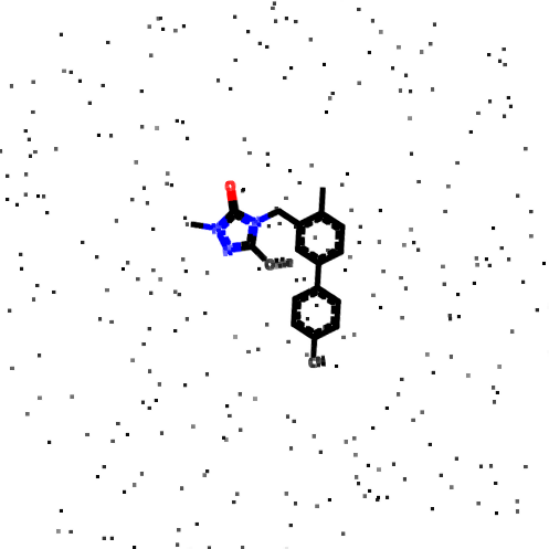 COc1nn(C)c(=O)n1Cc1cc(-c2ccc(C#N)cc2)ccc1C